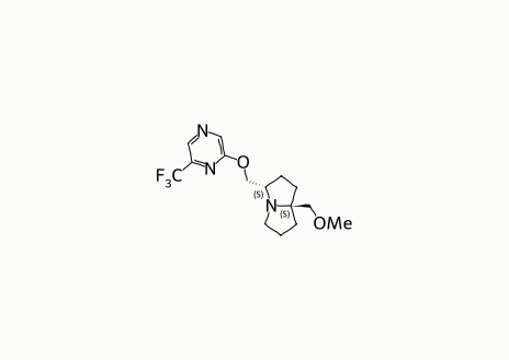 COC[C@@]12CCCN1[C@H](COc1cncc(C(F)(F)F)n1)CC2